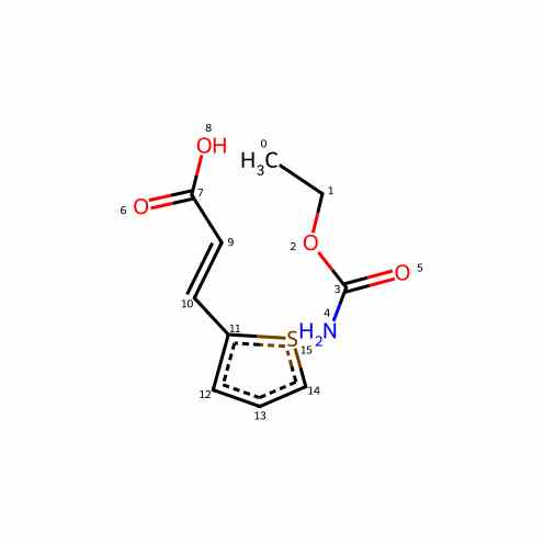 CCOC(N)=O.O=C(O)C=Cc1cccs1